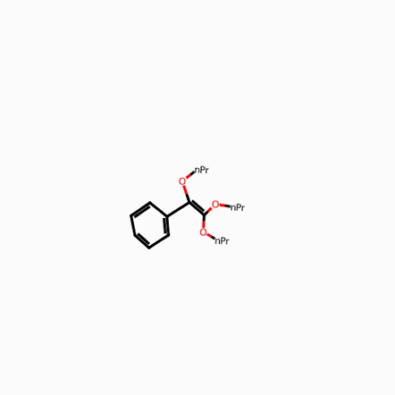 CCCOC(OCCC)=C(OCCC)c1ccccc1